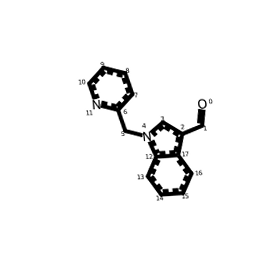 O=Cc1cn(Cc2ccccn2)c2ccccc12